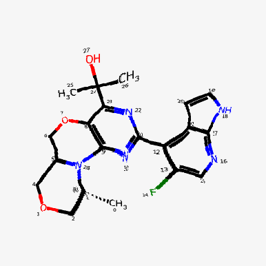 C[C@@H]1COCC2COc3c(nc(-c4c(F)cnc5[nH]ccc45)nc3C(C)(C)O)N21